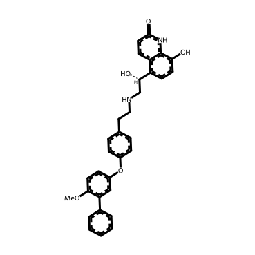 COc1ccc(Oc2ccc(CCNC[C@H](O)c3ccc(O)c4[nH]c(=O)ccc34)cc2)cc1-c1ccccc1